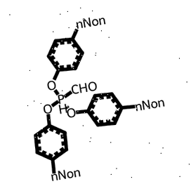 CCCCCCCCCc1ccc(O[PH](C=O)(Oc2ccc(CCCCCCCCC)cc2)Oc2ccc(CCCCCCCCC)cc2)cc1